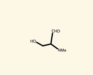 CNC([C]=O)CO